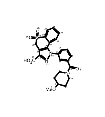 COC1CCN(C(=O)c2cccc(-n3nc(C(=O)O)c4c3-c3ccccc3S(=O)(=O)C4)c2)CC1